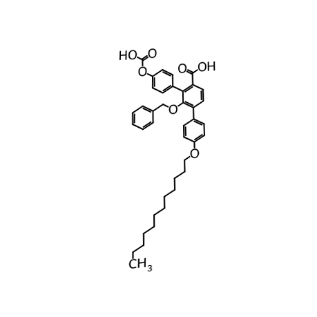 CCCCCCCCCCCCOc1ccc(-c2ccc(C(=O)O)c(-c3ccc(OC(=O)O)cc3)c2OCc2ccccc2)cc1